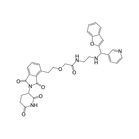 O=C(COCCc1cccc2c1C(=O)N(C1CCC(=O)NC1=O)C2=O)NCCNC(c1cccnc1)c1cc2ccccc2o1